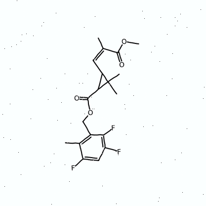 COC(=O)C(C)=CC1C(C(=O)OCc2c(C)c(F)cc(F)c2F)C1(C)C